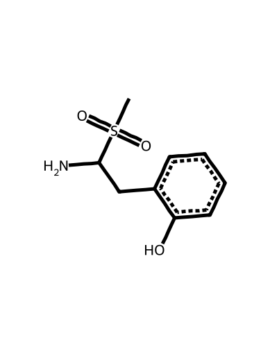 CS(=O)(=O)C(N)Cc1ccccc1O